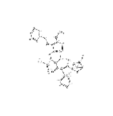 COc1ccc2c(c1OCc1ccccc1)C[C@@H](C(=O)O)N(C(=O)[C@@H](O[C@@H]1CC3C4[C@H]3[C@@H]41)c1ccccc1)C2